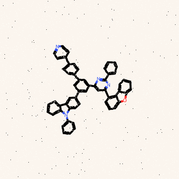 c1ccc(-c2nc(-c3cc(-c4ccc(-c5ccncc5)cc4)cc(-c4ccc5c(c4)c4ccccc4n5-c4ccccc4)c3)cc(-c3cccc4oc5ccccc5c34)n2)cc1